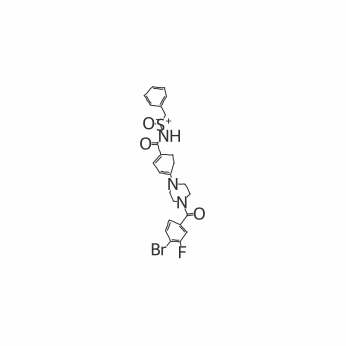 O=C(N[S+]([O-])Cc1ccccc1)C1=CC=C(N2CCN(C(=O)c3ccc(Br)c(F)c3)CC2)CC1